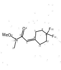 CON(C)C(=O)C=C1CCC(F)(F)CC1